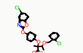 CC(OCc1ccccc1Cl)C(C)(Oc1ccc(Oc2nc3cc(Cl)ccc3o2)cc1)C(=O)O